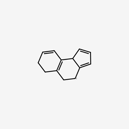 [C]1CC2=C(C=CCC2)C2C=CC=C12